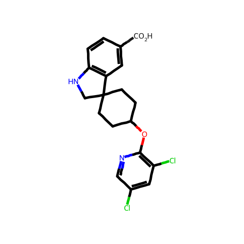 O=C(O)c1ccc2c(c1)C1(CCC(Oc3ncc(Cl)cc3Cl)CC1)CN2